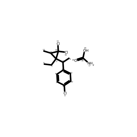 CCC1(C(C)c2ccc(Cl)cc2)C(C)C1(Cl)Cl.NC(=O)O